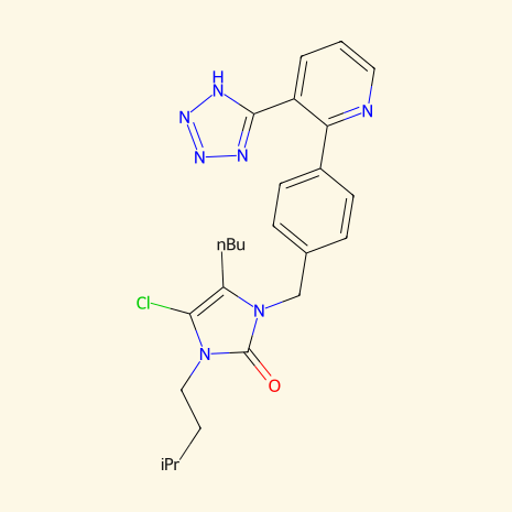 CCCCc1c(Cl)n(CCC(C)C)c(=O)n1Cc1ccc(-c2ncccc2-c2nnn[nH]2)cc1